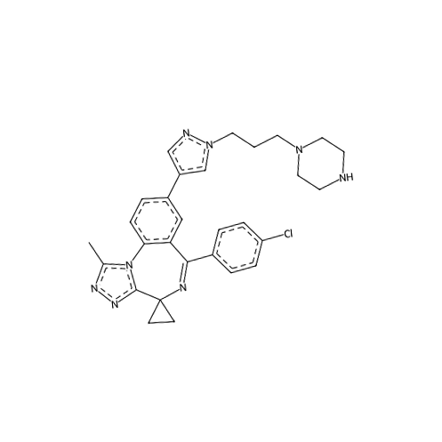 Cc1nnc2n1-c1ccc(-c3cnn(CCCN4CCNCC4)c3)cc1C(c1ccc(Cl)cc1)=NC21CC1